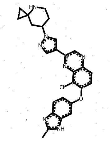 Cc1nc2ccc(Oc3ccc4ncc(-c5cnn(C6CCNC7(CC7)C6)c5)nc4c3Cl)cc2[nH]1